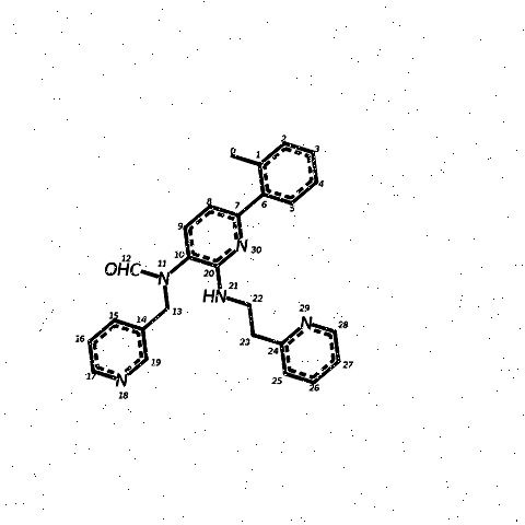 Cc1ccccc1-c1ccc(N(C=O)Cc2cccnc2)c(NCCc2ccccn2)n1